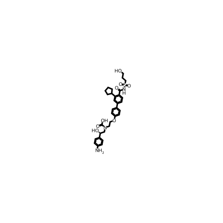 Nc1ccc([C@@H](O)CN(CCOc2ccc(-c3ccc(C(=O)NS(=O)(=O)CCCO)c(C4CCCC4)c3)cc2)C(=O)O)cc1